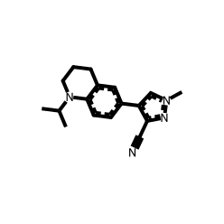 CC(C)N1CCCc2cc(-c3cn(C)nc3C#N)ccc21